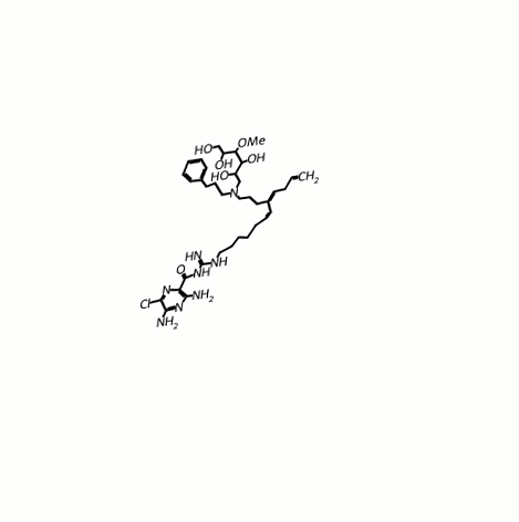 C=CC/C=C(\C=C/CCCCCNC(=N)NC(=O)c1nc(Cl)c(N)nc1N)CCCN(CCCc1ccccc1)CC(O)C(O)C(OC)C(O)CO